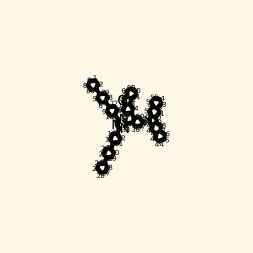 c1ccc(-c2ccc(-c3ccc(-c4nc(-c5ccc(-c6ccc(-c7ccccc7)cc6)cc5)nc(-c5ccc(-n6c7cc8ccccc8cc7c7cc8ccccc8cc76)cc5-c5ccc6oc7ccccc7c6c5)n4)cc3)cc2)cc1